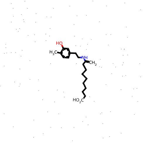 C=C(CCCCCCCCC(=O)O)NCCc1ccc(C)c(O)c1